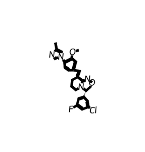 COc1cc(/C=C2\CCCN3C2=NOC[C@@H]3c2cc(F)cc(Cl)c2)ccc1-n1cnc(C)c1